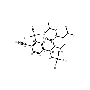 CCC(C(=O)N(CC(C)C)CC(C)C)N(CC(F)(F)F)c1ccc(C#N)c(C(F)(F)F)c1